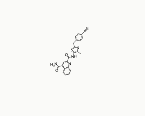 Cc1nc(Cc2ccc(C#N)cc2)sc1NC(=O)c1cc(C(N)=O)c2ccccc2n1